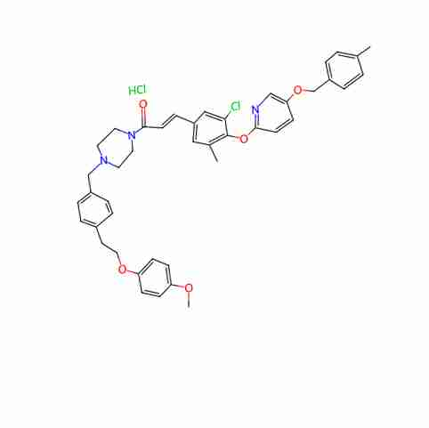 COc1ccc(OCCc2ccc(CN3CCN(C(=O)C=Cc4cc(C)c(Oc5ccc(OCc6ccc(C)cc6)cn5)c(Cl)c4)CC3)cc2)cc1.Cl